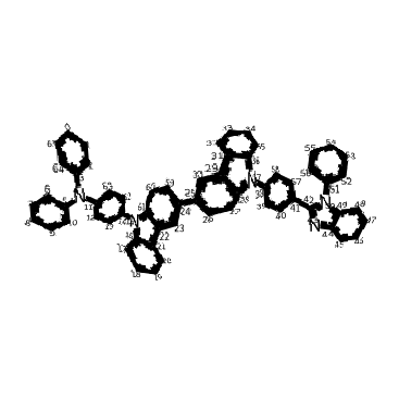 c1ccc(N(c2ccccc2)c2ccc(-n3c4ccccc4c4cc(-c5ccc6c(c5)c5ccccc5n6-c5ccc(-c6nc7ccccc7n6-c6ccccc6)cc5)ccc43)cc2)cc1